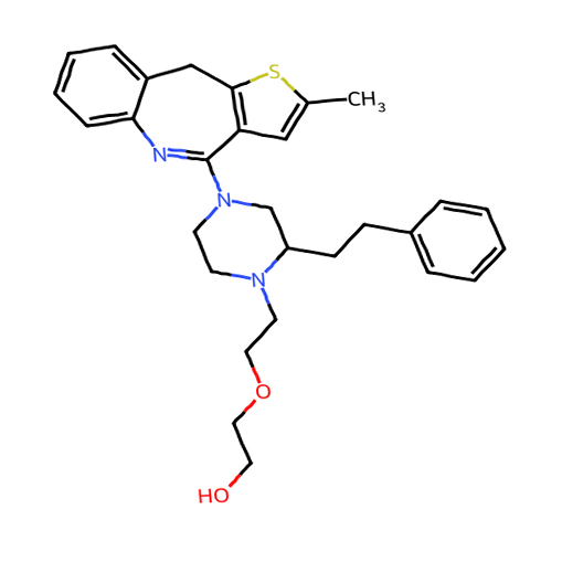 Cc1cc2c(s1)Cc1ccccc1N=C2N1CCN(CCOCCO)C(CCc2ccccc2)C1